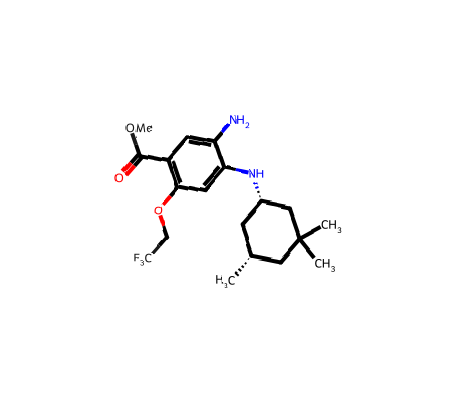 COC(=O)c1cc(N)c(N[C@H]2C[C@@H](C)CC(C)(C)C2)cc1OCC(F)(F)F